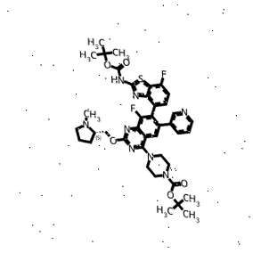 CN1CCC[C@H]1COc1nc(N2CCN(C(=O)OC(C)(C)C)CC2)c2cc(-c3cccnc3)c(-c3ccc(F)c4sc(NC(=O)OC(C)(C)C)nc34)c(F)c2n1